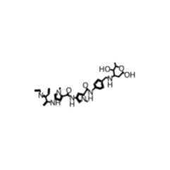 C=C/N=C(\C=C)C(=C)Nc1cc(C(=O)Nc2cc(C(=O)Nc3ccc(CNC4CC(O)OC(C)C4O)cc3)n(C)c2)n(C)c1